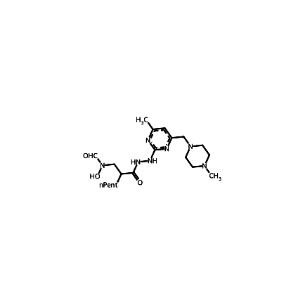 CCCCCC(CN(O)C=O)C(=O)NNc1nc(C)cc(CN2CCN(C)CC2)n1